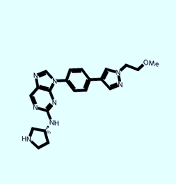 COCCn1cc(-c2ccc(-n3cnc4cnc(N[C@@H]5CCNC5)nc43)cc2)cn1